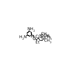 CCC(OCc1cc(N)cc(N)c1)C1(C)CC[Si](C)(C)[Si](C)(C)O1